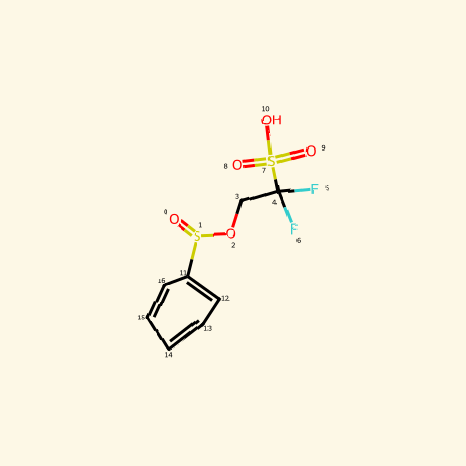 O=S(OCC(F)(F)S(=O)(=O)O)c1ccccc1